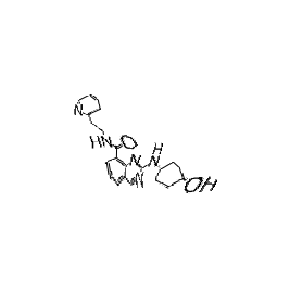 O=C(NCCc1ccccn1)c1cccc2cnc(N[C@H]3CC[C@H](O)CC3)nc12